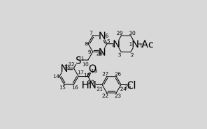 CC(=O)N1CCN(c2nccc(CSc3ncccc3C(=O)Nc3ccc(Cl)cc3)n2)CC1